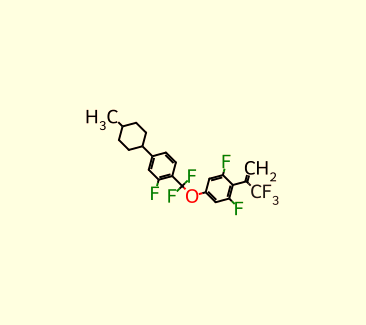 C=C(c1c(F)cc(OC(F)(F)c2ccc(C3CCC(C)CC3)cc2F)cc1F)C(F)(F)F